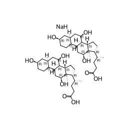 C[C@H](CCC(=O)O)[C@H]1CC[C@H]2[C@@H]3[C@H](O)C[C@@H]4C[C@H](O)CC[C@]4(C)[C@H]3C[C@H](O)[C@]12C.C[C@H](CCC(=O)O)[C@H]1CC[C@H]2[C@@H]3[C@H](O)C[C@@H]4C[C@H](O)CC[C@]4(C)[C@H]3C[C@H](O)[C@]12C.[NaH]